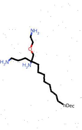 CCCCCCCCCCCCCCCCCCC(N)(CCCN)COCCN